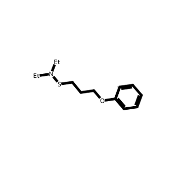 CCN(CC)SCCCOc1[c]cccc1